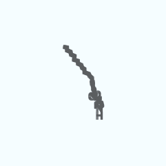 CCCCCCCCCCCCCCCCC#CC#CC(=O)OC(C)(C)C1CCNCC1